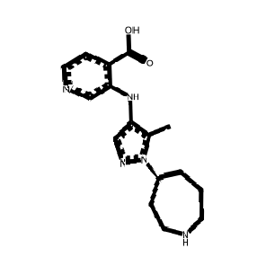 Cc1c(Nc2cnccc2C(=O)O)cnn1[C@H]1CCCNCC1